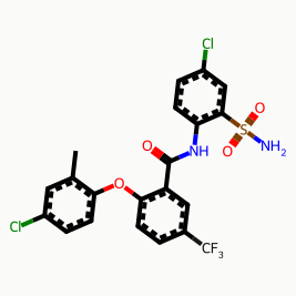 Cc1cc(Cl)ccc1Oc1ccc(C(F)(F)F)cc1C(=O)Nc1ccc(Cl)cc1S(N)(=O)=O